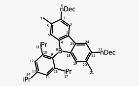 CCCCCCCCCCc1cc2c(cc1C)B(c1c(C(C)C)cc(C(C)C)cc1C(C)C)c1cc(C)c(CCCCCCCCCC)cc1-2